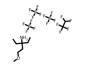 CCC(N)(CC)CCOC.FC(F)C(F)(F)F.F[B-](F)(F)F.F[B-](F)(F)F.F[B-](F)(F)F